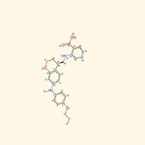 CCCOc1ccc(N(C)c2ccc3c(c2)OCC[C@H]3CNc2cnccc2C(=O)O)cc1